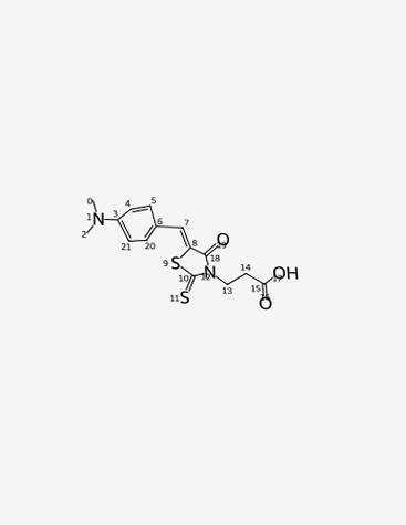 CN(C)c1ccc(/C=C2\SC(=S)N(CCC(=O)O)C2=O)cc1